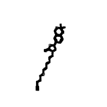 C#CCCCOCCCCCCN1CC(c2ccc3c(c2)COC(C)(C)O3)OC1=O